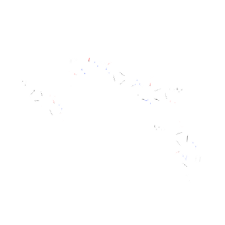 COc1cc2c(cc1OCCCOc1cc3c(cc1OC)C(=O)N1C=C(C4CC4)C[C@@H]1C=N3)N=C[C@H]1CC(c3ccc(NC(=O)[C@@H](C)NC(=O)[C@H](NC(=O)CCCCCN4C(=O)C=C(Oc5ccc(C#N)cc5)C4=O)C(C)C)cc3)=NC1C2=O